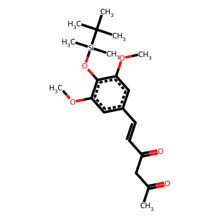 COc1cc(C=CC(=O)CC(C)=O)cc(OC)c1O[Si](C)(C)C(C)(C)C